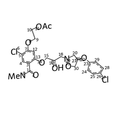 CNC(=O)c1cc(Cl)c(OCCOC(C)=O)cc1OC[C@@H](O)CN1C[C@@H](Oc2ccc(Cl)cc2)CO1